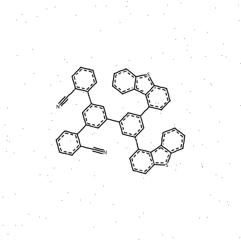 N#Cc1ccccc1-c1cc(-c2cc(-c3cccc4sc5ccccc5c34)cc(-c3cccc4sc5ccccc5c34)c2)cc(-c2ccccc2C#N)c1